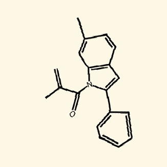 C=C(C)C(=O)n1c(-c2ccccc2)cc2ccc(C)cc21